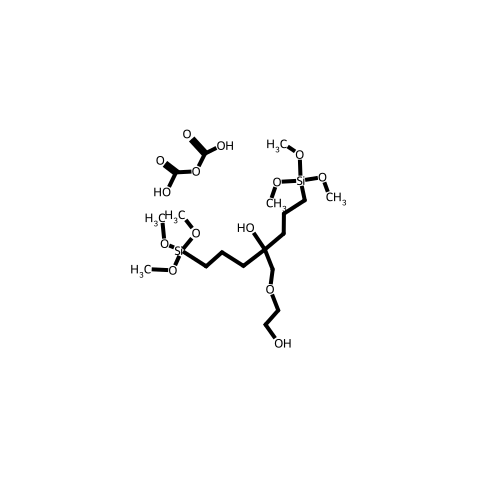 CO[Si](CCCC(O)(CCC[Si](OC)(OC)OC)COCCO)(OC)OC.O=C(O)OC(=O)O